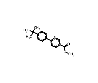 COC(=O)c1ccc(-c2ccc(C(C)(C)C)cc2)nc1